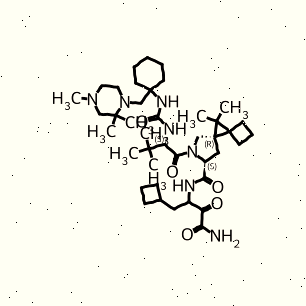 CN1CCN(CC2(NC(=O)N[C@H](C(=O)N3C[C@]4(C[C@H]3C(=O)NC(CC3CCC3)C(=O)C(N)=O)C(C)(C)C43CCC3)C(C)(C)C)CCCCC2)C(C)(C)C1